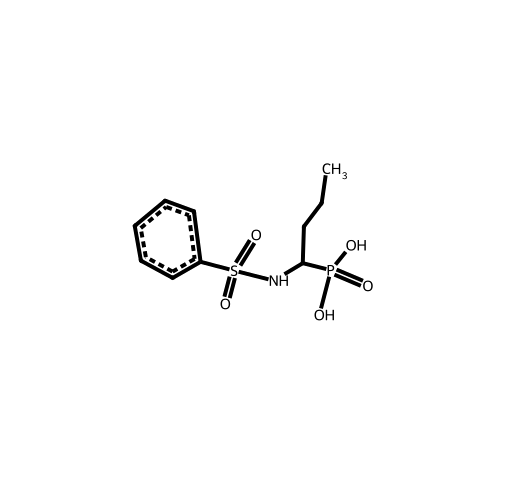 CCCC(NS(=O)(=O)c1ccccc1)P(=O)(O)O